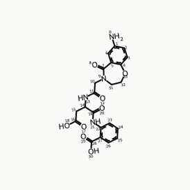 Nc1ccc2c(c1)C(=O)N(CC(=O)NC(CC(=O)O)C(=O)Nc1ccccc1C(=O)O)CCO2